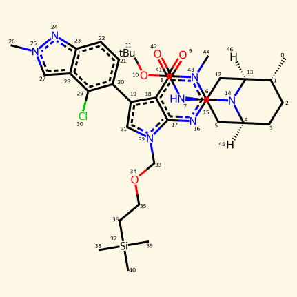 C[C@@H]1CC[C@H]2C[C@@H](NC(=O)OC(C)(C)C)C[C@@H]1N2c1nc2c(c(-c3ccc4nn(C)cc4c3Cl)cn2COCC[Si](C)(C)C)c(=O)n1C